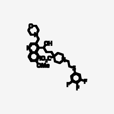 COc1ccc2ncc(CN3CCOCC3)c(C(O)CCC3(C(=O)O)CCN(CCSc4cc(F)c(F)c(F)c4)CC3)c2c1